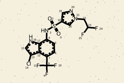 O=S(=O)(Nc1ccc(C(F)(F)F)c2c(Cl)c[nH]c12)c1cnn(CC(F)F)c1